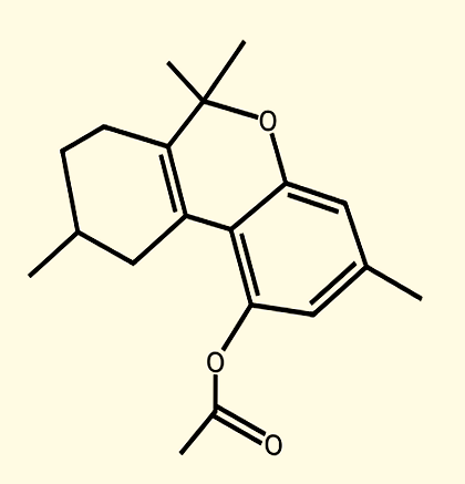 CC(=O)Oc1cc(C)cc2c1C1=C(CCC(C)C1)C(C)(C)O2